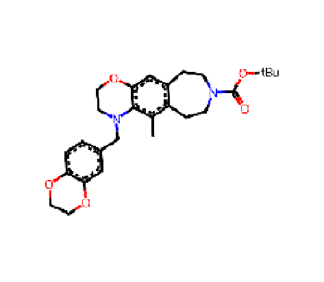 Cc1c2c(cc3c1N(Cc1ccc4c(c1)OCCO4)CCO3)CCN(C(=O)OC(C)(C)C)CC2